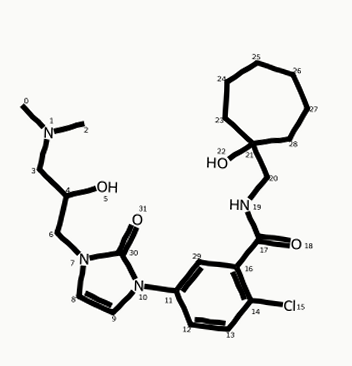 CN(C)CC(O)Cn1ccn(-c2ccc(Cl)c(C(=O)NCC3(O)CCCCCC3)c2)c1=O